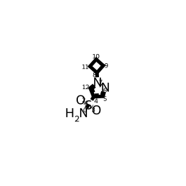 NS(=O)(=O)c1cnn(C2CCC2)c1